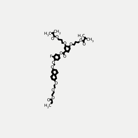 C=CC(=O)OCCOCCOc1ccc2cc(OCOc3ccc(OC(=O)c4ccc(OCCCOC(=O)C(=C)C)c(OCCCOC(=O)C(=C)C)c4)cc3F)ccc2c1